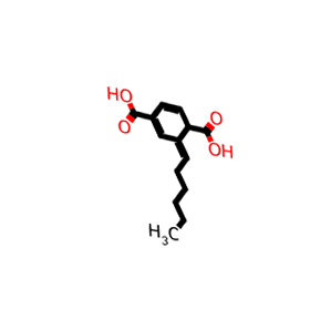 CCCCCC=C1C=C(C(=O)O)C=CC1C(=O)O